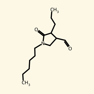 CCCCCCN1CC(C=O)C(CCC)C1=O